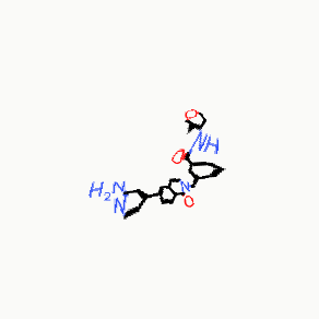 Nc1cc(-c2ccc3c(=O)n(Cc4cccc(C(=O)NC5CCOCC5)c4)ccc3c2)ccn1